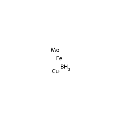 B.[Cu].[Fe].[Mo]